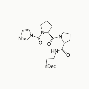 CCCCCCCCCCCCNC(=O)C1CCCN1C(=O)[C@@H]1CCCN1C(=O)n1ccnc1